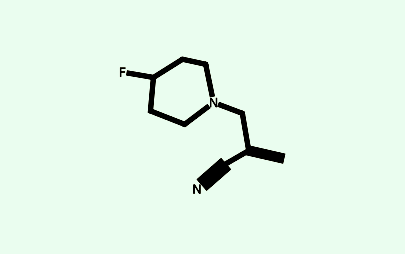 C=C(C#N)CN1CCC(F)CC1